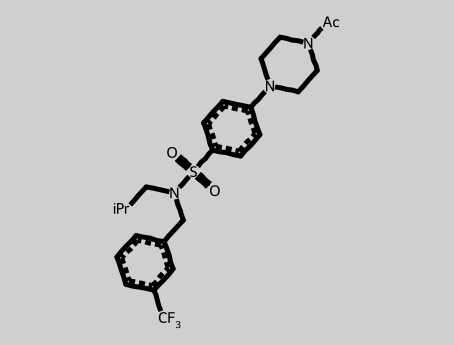 CC(=O)N1CCN(c2ccc(S(=O)(=O)N(Cc3cccc(C(F)(F)F)c3)CC(C)C)cc2)CC1